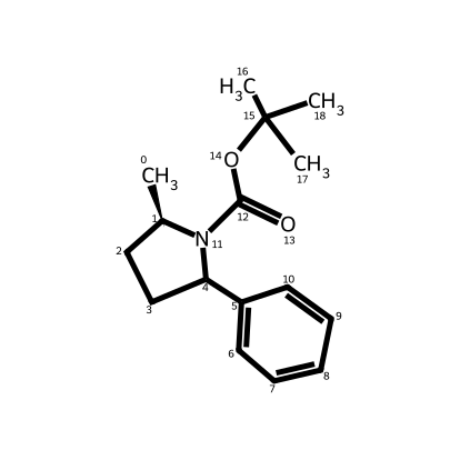 C[C@@H]1CCC(c2ccccc2)N1C(=O)OC(C)(C)C